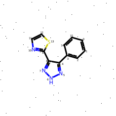 c1ccc(-c2n[nH]nc2-c2nccs2)cc1